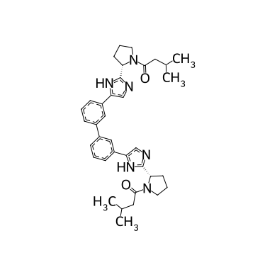 CC(C)CC(=O)N1CCC[C@H]1c1ncc(-c2cccc(-c3cccc(-c4cnc([C@@H]5CCCN5C(=O)CC(C)C)[nH]4)c3)c2)[nH]1